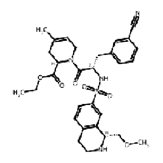 CCOC(=O)[C@H]1CC(C)=CCN1C(=O)[C@H](Cc1cccc(C#N)c1)NS(=O)(=O)c1ccc2c(c1)[C@H](COC)NCC2